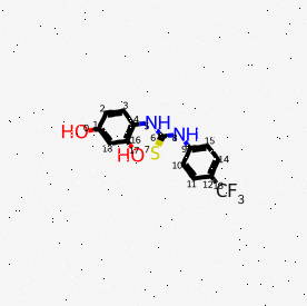 Oc1ccc(NC(=S)Nc2ccc(C(F)(F)F)cc2)c(O)c1